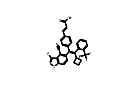 N#Cc1c(/C(=C(/c2ccccc2C(F)(F)F)C2CCC2)c2ccc(/C=C/C(=O)O)cc2)ccc2[nH]nc(F)c12